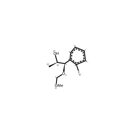 COCO[C@H](c1ccccc1I)[C@@H](C)O